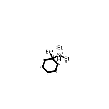 CC[SiH](CC)C1(CC)CCCCC1